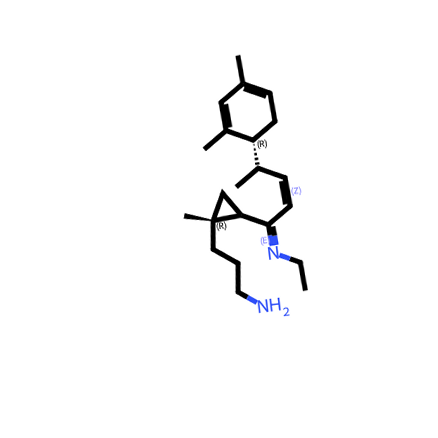 CC/N=C(\C=C/C(C)[C@H]1CC=C(C)C=C1C)C1C[C@@]1(C)CCCN